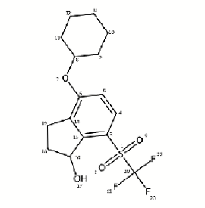 O=S(=O)(c1ccc(OC2CCCCC2)c2c1C(O)CC2)C(F)(F)F